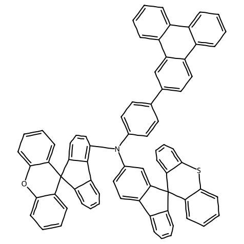 c1ccc2c(c1)Oc1ccccc1C21c2ccccc2-c2c(N(c3ccc(-c4ccc5c6ccccc6c6ccccc6c5c4)cc3)c3ccc4c(c3)C3(c5ccccc5Sc5ccccc53)c3ccccc3-4)cccc21